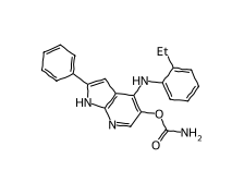 CCc1ccccc1Nc1c(OC(N)=O)cnc2[nH]c(-c3ccccc3)cc12